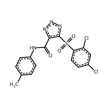 Cc1ccc(NC(=O)c2nnsc2S(=O)(=O)c2ccc(Cl)cc2Cl)cc1